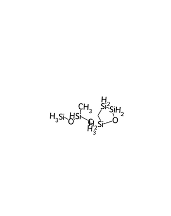 C1[SiH2]O[SiH2][SiH2]1.C[SiH](C)O[SiH3]